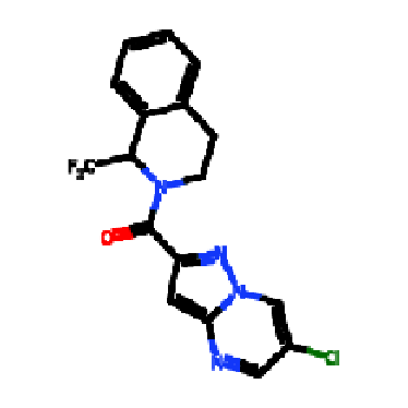 O=C(c1cc2ncc(Cl)cn2n1)N1CCc2ccccc2C1C(F)(F)F